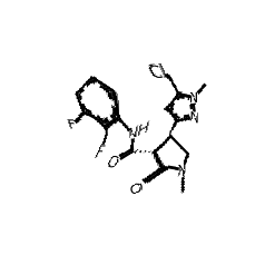 CN1C[C@H](c2cc(Cl)n(C)n2)[C@@H](C(=O)Nc2cccc(F)c2F)C1=O